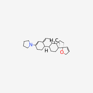 CC[C@]12CCC3C(CC=C4C=C(N5CCCC5)CC[C@@H]43)C1CC[C@@]21C=CCO1